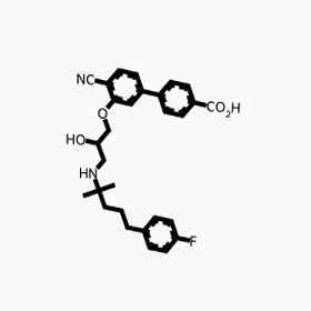 CC(C)(CCCc1ccc(F)cc1)NCC(O)COc1cc(-c2ccc(C(=O)O)cc2)ccc1C#N